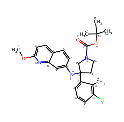 COc1ccc2ccc(NC3(c4cccc(Cl)c4C)CCN(C(=O)OC(C)(C)C)C3)cc2n1